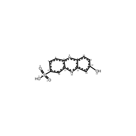 O=S(=O)(O)c1ccc2nc3ccc(O)cc3nc2c1